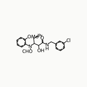 COc1ccccc1N(C=O)C(CC(C)C)C(O)C(=O)NCc1cccc(Cl)c1